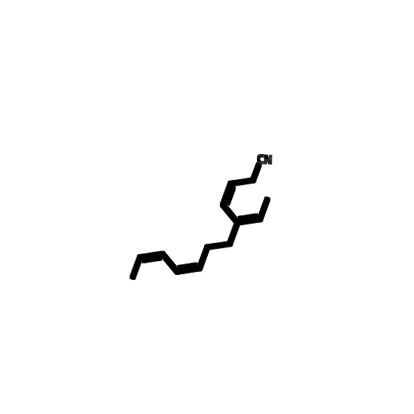 C/C=C\C=C/CCC(/C=C\CC#N)=C/C